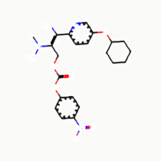 CN(N)/C(COC(=O)Oc1ccc([N+](=O)[O-])cc1)=C(\N)c1ccc(OC2CCCCC2)cn1